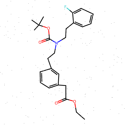 CCOC(=O)Cc1cccc(CCN(CCc2ccccc2F)C(=O)OC(C)(C)C)c1